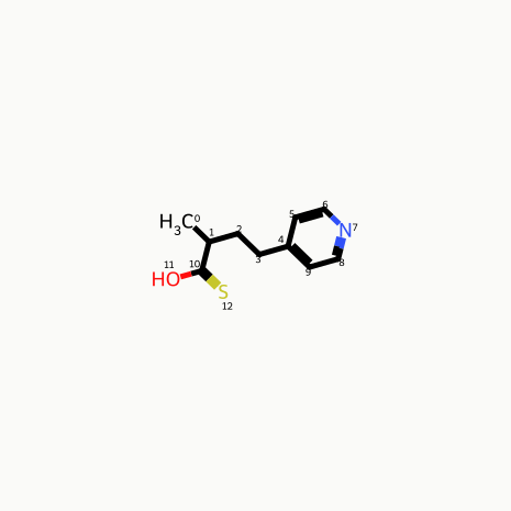 CC(CCc1ccncc1)C(O)=S